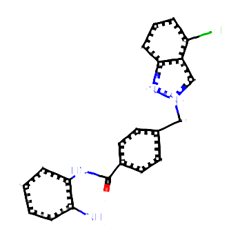 Nc1ccccc1NC(=O)c1ccc(Cn2cc3c(Cl)cccc3n2)cc1